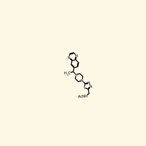 CC(=O)NCc1nnc(N2CCN(C(C)c3ccc4nccnc4c3)CC2)s1